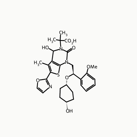 COc1ccccc1[C@H](CN1C(=O)N(C(C)(C)C(=O)O)C(O)c2c1sc(-c1ncco1)c2C)O[C@H]1CC[C@@H](O)CC1